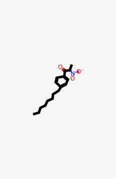 CCCCCCCCc1ccc(C(=O)C(C)[N+](=O)[O-])cc1